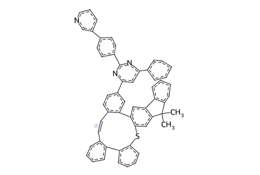 CC1(C)c2ccccc2-c2cc3c(cc21)Sc1ccccc1-c1ccccc1/C=C\c1ccc(-c2cc(-c4ccccc4)nc(-c4ccc(-c5cccnc5)cc4)n2)cc1-3